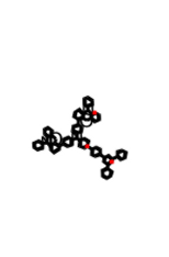 c1ccc(-c2cc(-c3ccccc3)cc(-c3ccc(-c4ccc(N(c5ccc(-c6cccc7c6Oc6ccccc6N7c6ccccc6)cc5)c5ccc(-c6cccc7c6Oc6ccccc6N7c6ccccc6)cc5)cc4)cc3)c2)cc1